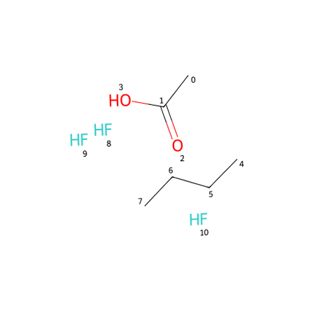 CC(=O)O.CCCC.F.F.F